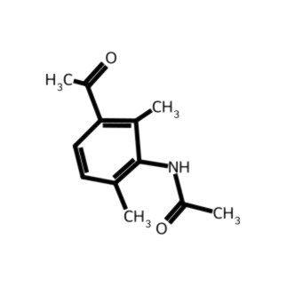 CC(=O)Nc1c(C)ccc(C(C)=O)c1C